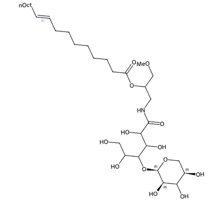 CCCCCCCC/C=C/CCCCCCCC(=O)OC(CNC(=O)C(O)C(O)C(O[C@H]1OC[C@@H](O)C(O)[C@H]1O)C(O)CO)COC